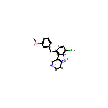 COc1cccc(Cc2ccc(F)c3[nH]c4c(c23)CNCC4)c1